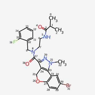 CC(C)C(=O)NCCN(Cc1ccccc1F)C(=O)c1nn(C)c2c1COc1ccc(Br)cc1-2